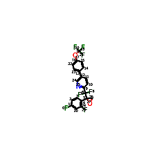 Fc1ccc(C2(C(F)(F)c3ccc(-c4ccc(OC(F)(F)F)cc4)cn3)CO2)c(F)c1